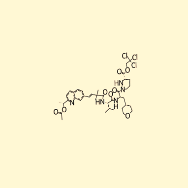 CC(=O)O[C@H](C)c1ccc2ccc(/C=C/C(C)(C)C(=O)N[C@H](C(=O)NC(CC3CCOCC3)C(=O)N3CCC[C@@H](C(=O)OCC(Cl)(Cl)Cl)N3)C(C)C)cc2n1